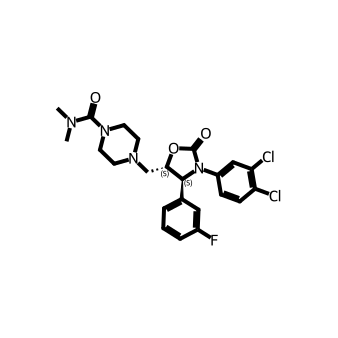 CN(C)C(=O)N1CCN(C[C@@H]2OC(=O)N(c3ccc(Cl)c(Cl)c3)[C@H]2c2cccc(F)c2)CC1